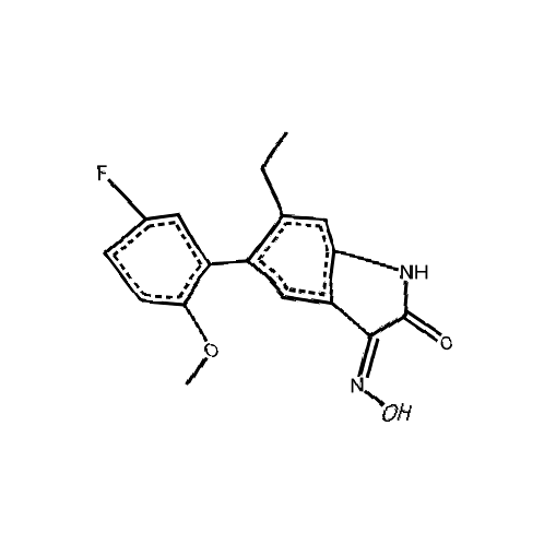 CCc1cc2c(cc1-c1cc(F)ccc1OC)/C(=N/O)C(=O)N2